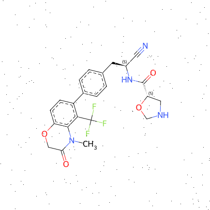 CN1C(=O)COc2ccc(-c3ccc(C[C@@H](C#N)NC(=O)[C@@H]4CNCO4)cc3)c(C(F)(F)F)c21